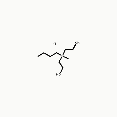 CCCC[N+](C)(CCO)CCO.[Cl-]